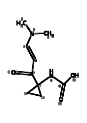 CN(C)/C=C/C(=O)C1(NC(=O)O)CC1